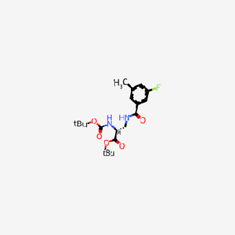 Cc1cc(F)cc(C(=O)NC[C@@H](NC(=O)OC(C)(C)C)C(=O)OC(C)(C)C)c1